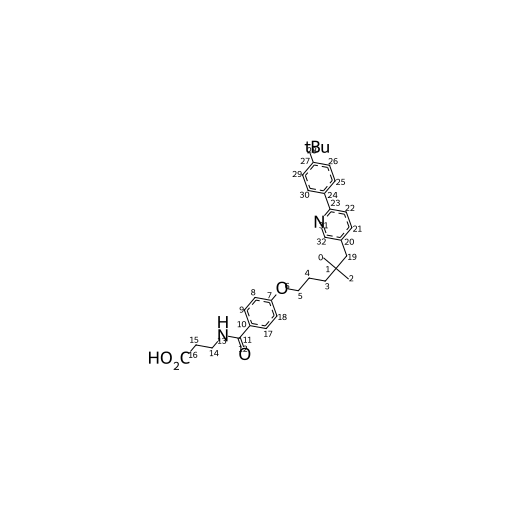 CC(C)(CCCOc1ccc(C(=O)NCCC(=O)O)cc1)Cc1ccc(-c2ccc(C(C)(C)C)cc2)nc1